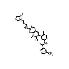 Cc1ccc(NC(=O)c2cccc(C(F)(F)F)c2)cc1-c1nc2cnc(NCCCN3CCCC3=O)nc2n(C)c1=O